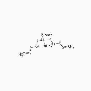 C=CCOCC([CH]CCCC)(CCCCCC)COCC=C